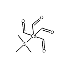 C[Si](C)(C)[Co]([CH]=O)([CH]=O)([CH]=O)[CH]=O